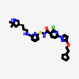 CC1(C)C[C@H](CCCNc2cccc(SNC(=O)c3ccc(-n4ccc(OCCC5CCCC5)n4)nc3Cl)n2)CN1